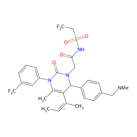 C/C=C(/C)C1=C(C)N(c2cccc(C(F)(F)F)c2)C(=O)N(CC(=O)NS(=O)(=O)CC(F)(F)F)C1c1ccc(CNC)cc1